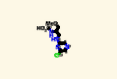 COCC(CNc1cncc(Cl)n1)NC(=O)O